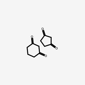 O=C1CCC(=O)C1.O=C1CCCC(=O)C1